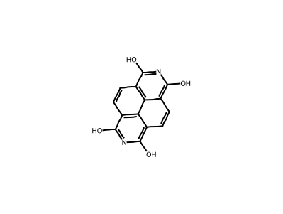 Oc1nc(O)c2ccc3c(O)nc(O)c4ccc1c2c43